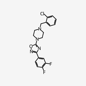 Fc1ccc(-c2noc(N3CCN(Cc4ccccc4Cl)CC3)n2)cc1F